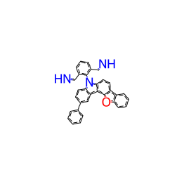 N=Cc1cccc(C=N)c1-n1c2ccc(-c3ccccc3)cc2c2c3oc4ccccc4c3ccc21